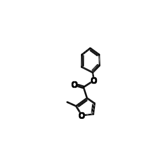 Cc1occc1C(=O)Oc1ccccc1